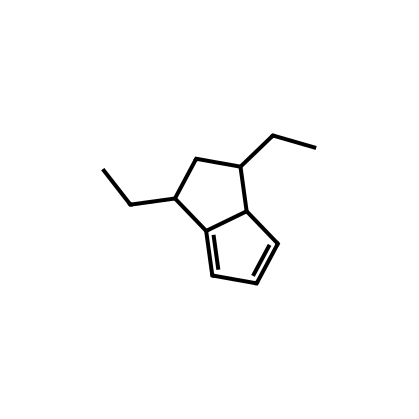 CCC1CC(CC)C2C=CC=C12